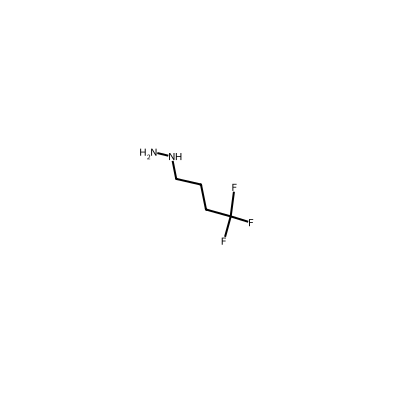 NNCCCC(F)(F)F